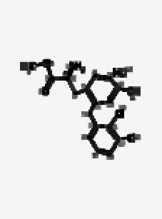 COC(=O)[C@@H](N)Cc1ccc(O)cc1Cc1cccc(Cl)c1Cl.Cl